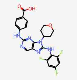 O=C(O)c1ccc(Nc2ncc3nc(Nc4c(F)cc(F)cc4F)n(C4CCOCC4)c3n2)cc1